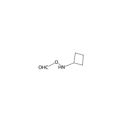 O=CONC1CCC1